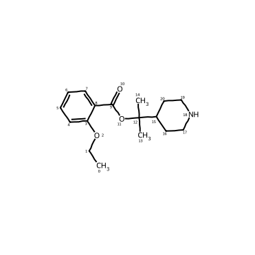 CCOc1ccccc1C(=O)OC(C)(C)C1CCNCC1